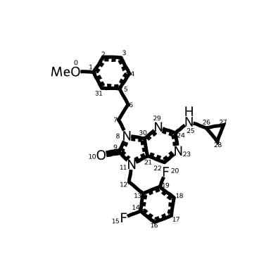 COc1cccc(CCn2c(=O)n(Cc3c(F)cccc3F)c3cnc(NC4CC4)nc32)c1